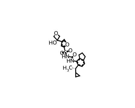 C[C@H](c1ccc2c(c1NC(=O)NS(=O)(=O)c1cc(C3(O)COC3)co1)CCC2)C1CC1